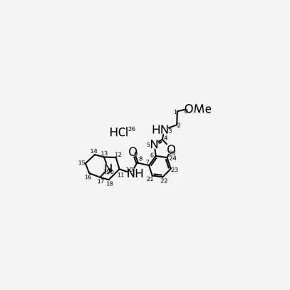 COCCNc1nc2c(C(=O)NC3CC4CCCC(C3)N4C)cccc2o1.Cl